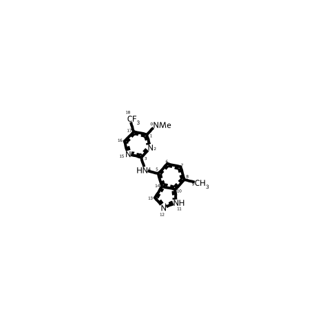 CNc1nc(Nc2ccc(C)c3[nH]ncc23)ncc1C(F)(F)F